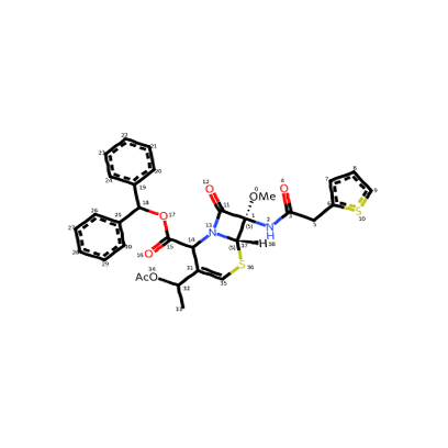 CO[C@@]1(NC(=O)Cc2cccs2)C(=O)N2C(C(=O)OC(c3ccccc3)c3ccccc3)C(C(C)OC(C)=O)=CS[C@H]21